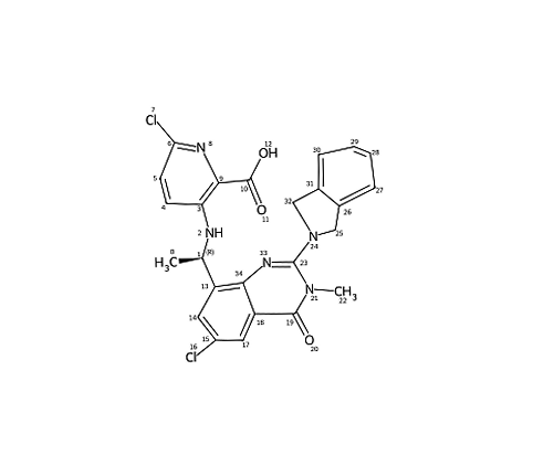 C[C@@H](Nc1ccc(Cl)nc1C(=O)O)c1cc(Cl)cc2c(=O)n(C)c(N3Cc4ccccc4C3)nc12